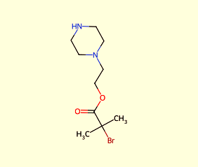 CC(C)(Br)C(=O)OCCN1CCNCC1